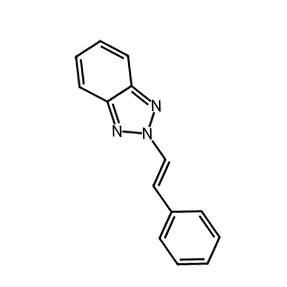 C(=C\n1nc2ccccc2n1)/c1ccccc1